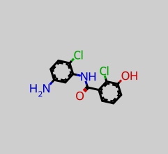 Nc1ccc(Cl)c(NC(=O)c2cccc(O)c2Cl)c1